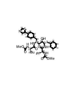 CC[C@H](C)[C@H](NC(=O)OC)C(=O)NN(Cc1ccc(-c2cncs2)cc1)C[C@H](O)[C@H](Cc1ccccc1)NC(=O)[C@@H](NC(=O)OC)C(C)C